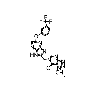 Cn1nnc2ncn(Cc3nc4nc(Oc5cccc(C(F)(F)F)c5)cnc4[nH]3)c(=O)c21